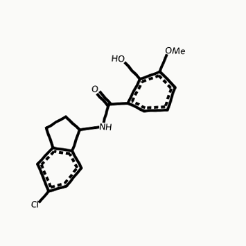 COc1cccc(C(=O)NC2CCc3cc(Cl)ccc32)c1O